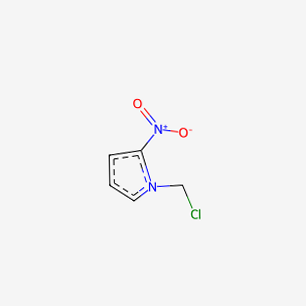 O=[N+]([O-])c1cccn1CCl